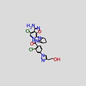 Nc1noc2c(N3CC4CCC3C4NC(=O)c3ccc(-n4cnc(CCO)c4)cc3Cl)ncc(Cl)c12